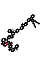 CCCCCCCC1(CCCCCCC)c2ccccc2-c2ccc(-c3ccc4c(c3)C(C)(C)C3=C4CCC(c4ccc(-c5cc6c(c7c5oc5ccccc57)-c5ccc(N(C7=CCC=CC8=C7c7ccccc7C8(C)C)c7ccc8c(c7)C(C)(C)c7cc9c(cc7-8)C(C)(C)c7ccc8oc%10ccccc%10c8c7-9)cc5C6(C)C)cc4)=C3)cc21